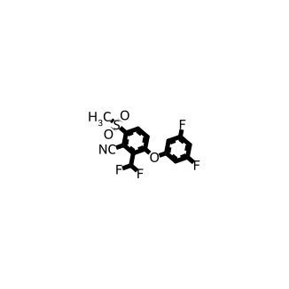 CS(=O)(=O)c1ccc(Oc2cc(F)cc(F)c2)c(C(F)F)c1C#N